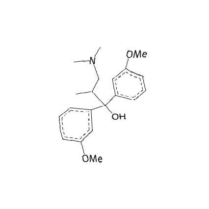 COc1cccc(C(O)(c2cccc(OC)c2)C(C)CN(C)C)c1